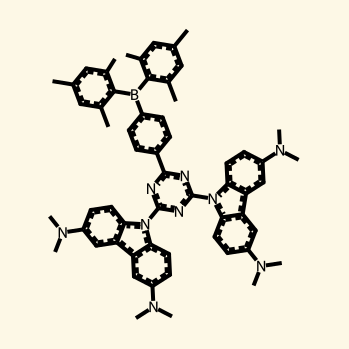 Cc1cc(C)c(B(c2ccc(-c3nc(-n4c5ccc(N(C)C)cc5c5cc(N(C)C)ccc54)nc(-n4c5ccc(N(C)C)cc5c5cc(N(C)C)ccc54)n3)cc2)c2c(C)cc(C)cc2C)c(C)c1